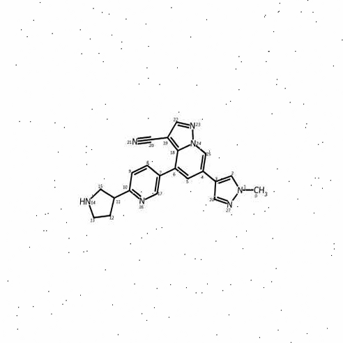 Cn1cc(-c2cc(-c3ccc(C4CCNC4)nc3)c3c(C#N)cnn3c2)cn1